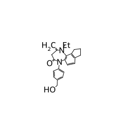 C=C1CC(=O)N(c2ccc(CO)cc2)c2ccc3c(c2N1CC)CCC3